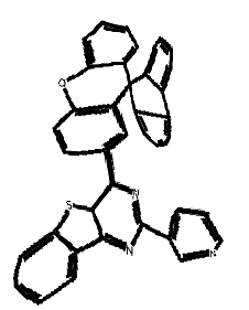 c1cncc(C2=NC(c3ccc4c(c3)C3(c5ccccc5O4)c4ccccc4-c4ccccc43)C3Sc4ccccc4C3=N2)c1